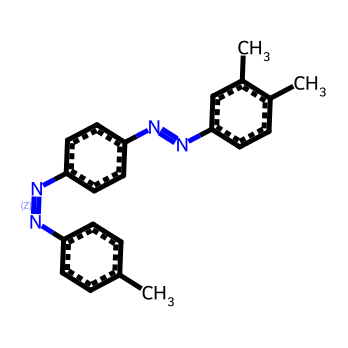 Cc1ccc(/N=N\c2ccc(N=Nc3ccc(C)c(C)c3)cc2)cc1